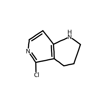 Clc1nccc2c1CCCN2